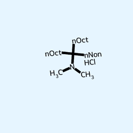 CCCCCCCCCC(CCCCCCCC)(CCCCCCCC)N(C)C.Cl